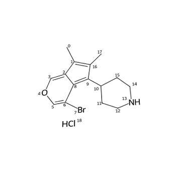 Cc1c2cocc(Br)c-2c(C2CCNCC2)c1C.Cl